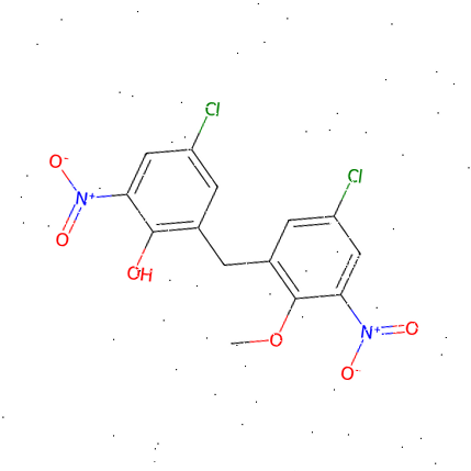 COc1c(Cc2cc(Cl)cc([N+](=O)[O-])c2O)cc(Cl)cc1[N+](=O)[O-]